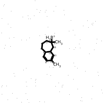 BC1(C)CCCC2C=CC(C)=CC2C1